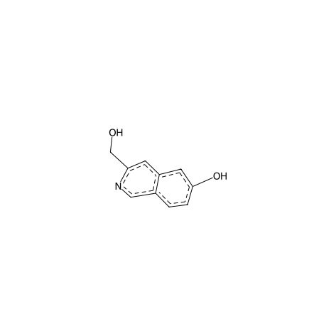 OCc1cc2cc(O)ccc2cn1